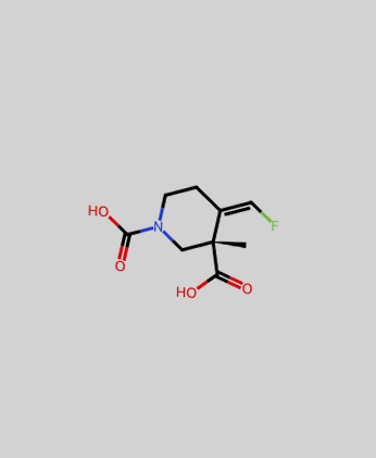 C[C@@]1(C(=O)O)CN(C(=O)O)CC/C1=C/F